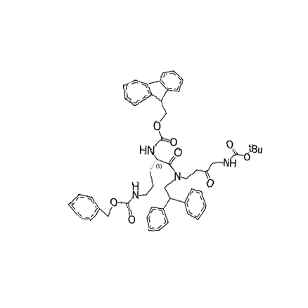 CC(C)(C)OC(=O)NCC(=O)CCN(CC(c1ccccc1)c1ccccc1)C(=O)[C@H](CCCNC(=O)OCc1ccccc1)NC(=O)OCC1c2ccccc2-c2ccccc21